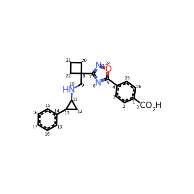 O=C(O)c1ccc(-c2nc(C3(CN[C@H]4CC4c4ccccc4)CCC3)no2)cc1